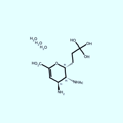 CC(=O)N[C@@H]1[C@@H](N)C=C(C(=O)O)O[C@@H]1CCC(O)(O)O.O.O.O